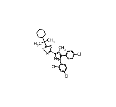 Cc1c(-c2nnc(C(C)(C)C3CCCCC3)s2)nn(-c2ccc(Cl)cc2Cl)c1-c1ccc(Cl)cc1